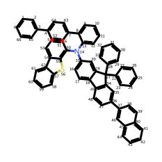 c1ccc(-c2ccc(-c3ccccc3N(c3ccc4c(c3)C(c3ccccc3)(c3ccccc3)c3cc(-c5ccc6ccccc6c5)ccc3-4)c3cccc4c3sc3ccccc34)cc2)cc1